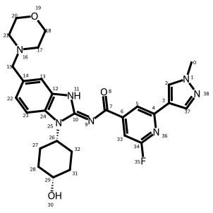 Cn1cc(-c2cc(C(=O)/N=c3\[nH]c4cc(CN5CCOCC5)ccc4n3[C@H]3CC[C@@H](O)CC3)cc(F)n2)cn1